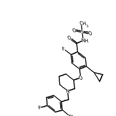 CS(=O)(=O)NC(=O)c1cc(C2CC2)c(OC2CCCN(Cc3ccc(F)cc3Cl)C2)cc1F